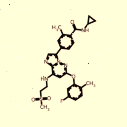 Cc1ccc(F)cc1Oc1cc(NCCS(C)(=O)=O)c2ncc(-c3ccc(C(=O)NC4CC4)c(C)c3)n2n1